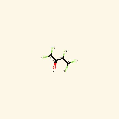 O=C(C(F)F)C(F)C(F)F